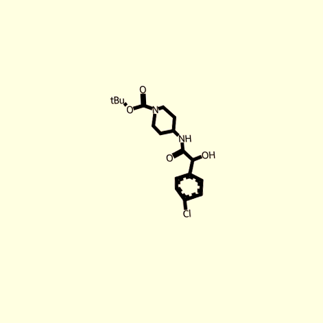 CC(C)(C)OC(=O)N1CCC(NC(=O)C(O)c2ccc(Cl)cc2)CC1